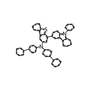 c1ccc(-c2ccc(N(c3ccc(-c4ccccc4)cc3)c3cc(-c4ccc5c(c4)c4ccccc4n5-c4ccccc4)c4sc5ccccc5c4c3)cc2)cc1